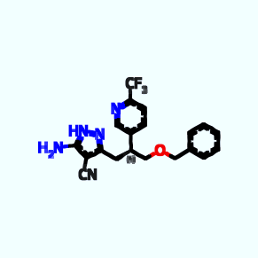 N#Cc1c(C[C@H](COCc2ccccc2)c2ccc(C(F)(F)F)nc2)n[nH]c1N